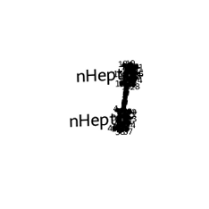 CCCCCCCC1=C2C(C)=C(C#CC#CC3=C(C)C4=C(CCCCCCC)c5c(C)cc(C)n5[B-](F)(F)[N+]4=C3C)C(C)=[N+]2[B-](F)(F)n2c(C)cc(C)c21